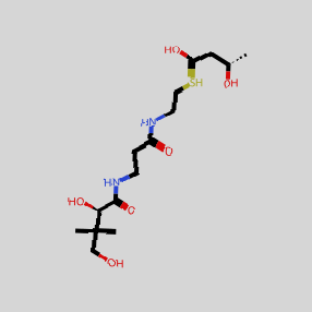 C[C@H](O)CC(O)=[SH]CCNC(=O)CCNC(=O)[C@H](O)C(C)(C)CO